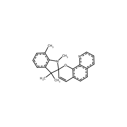 Cc1cccc2c1N(C)C1(C=Cc3ccc4cccnc4c3O1)C2(C)C